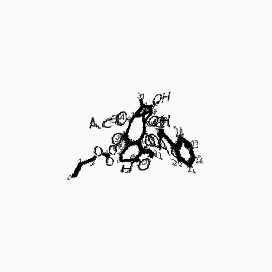 C=CCOC(=O)O[C@H]1C[C@H]2OC[C@@]2(OC(C)=O)C2[C@H](OC(=O)c3ccccc3)[C@]3(O)C[C@H](O)C(C)=C([C@@H](OC(C)=O)C(=O)[C@@]21C)C3(C)C